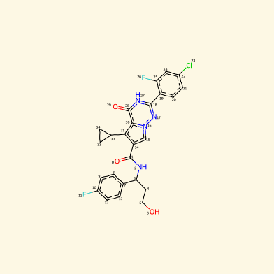 O=C(NC(CCO)c1ccc(F)cc1)c1cn2nc(-c3ccc(Cl)cc3F)[nH]c(=O)c2c1C1CC1